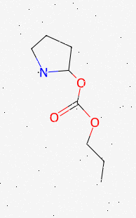 CCCOC(=O)OC1CCC[N]1